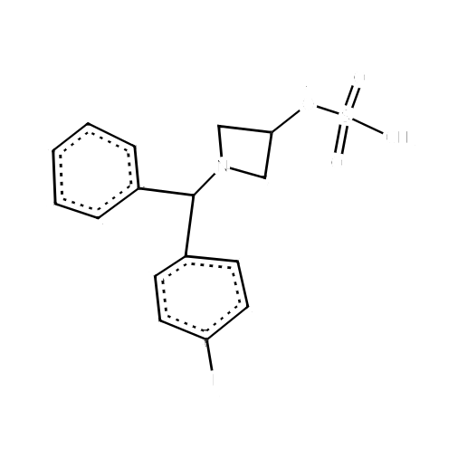 CS(=O)(=O)OC1CN(C(c2ccccc2)c2ccc(I)cc2)C1